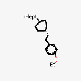 CCCCCCC[C@H]1CC[C@H](CCc2ccc(OCC)cc2)CC1